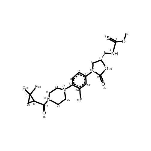 COC(=S)NC[C@H]1CN(c2ccc(N3CCN(C(=O)C4CC4(F)F)CC3)c(F)c2)C(=O)O1